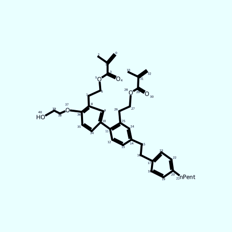 C=C(C)C(=O)OCCc1cc(-c2ccc(CCc3ccc(CCCCC)cc3)cc2CCOC(=O)C(=C)C)ccc1OCCO